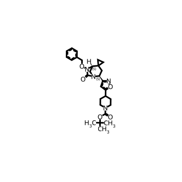 CC(C)(C)OC(=O)N1CCC(c2cc([C@@H]3CC4(CC4)[C@H]4CN3C(=O)N4OCc3ccccc3)no2)CC1